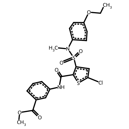 CCOc1ccc(N(C)S(=O)(=O)c2cc(Cl)sc2C(=O)Nc2cccc(C(=O)OC)c2)cc1